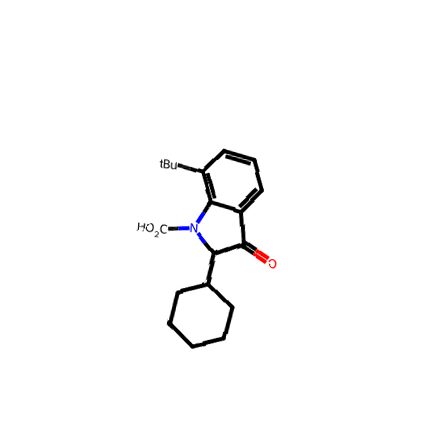 CC(C)(C)c1cccc2c1N(C(=O)O)C(C1CCCCC1)C2=O